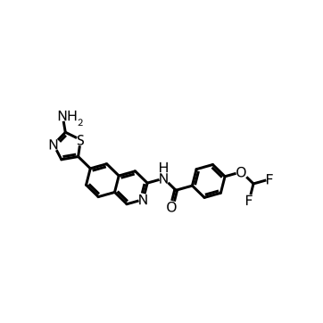 Nc1ncc(-c2ccc3cnc(NC(=O)c4ccc(OC(F)F)cc4)cc3c2)s1